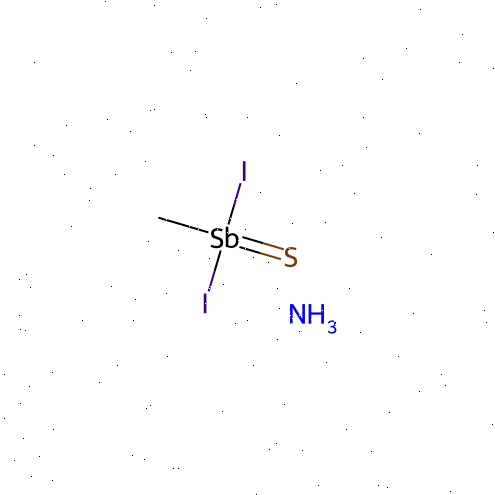 N.[CH3][Sb](=[S])([I])[I]